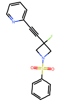 O=S(=O)(c1ccccc1)N1CC(F)(C#Cc2ccccn2)C1